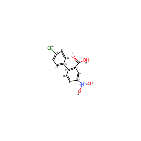 O=C(O)c1cc([N+](=O)[O-])ccc1-c1ccc(Cl)cc1